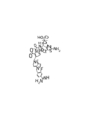 CC(C)(ON=C(C(=O)N[C@@H]1C(=O)N2C(C(=O)[O-])=C(C[n+]3ccc4c(ccn4Cc4ccc(C(=N)N)cc4F)c3)CS[C@H]12)c1nc(N)sc1Cl)C(=O)O